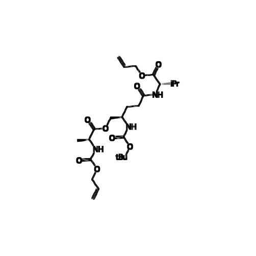 C=CCOC(=O)N[C@@H](C)C(=O)OC[C@@H](CCC(=O)N[C@H](C(=O)OCC=C)C(C)C)NC(=O)OC(C)(C)C